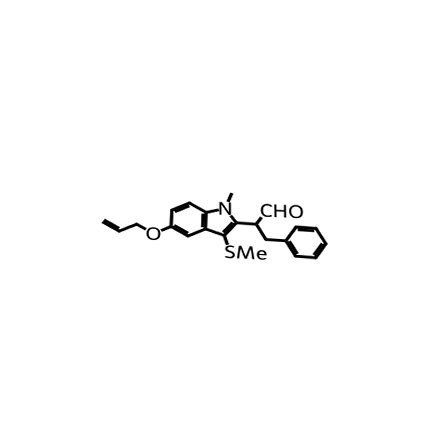 C=CCOc1ccc2c(c1)c(SC)c(C(C=O)Cc1ccccc1)n2C